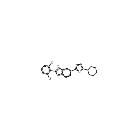 Clc1cccc(Cl)c1-c1nc2ccc(-c3nnc(C4CCCCC4)o3)cc2[nH]1